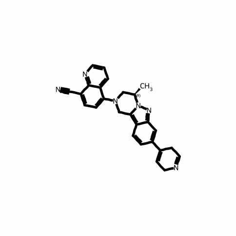 C[C@@H]1CN(c2ccc(C#N)c3ncccc23)Cc2c3ccc(C4=CCN=CC4)cc3nn21